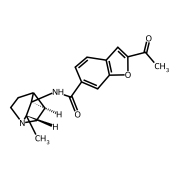 CC(=O)c1cc2ccc(C(=O)N[C@@H]3C4CCN(CC4)[C@H]3C)cc2o1